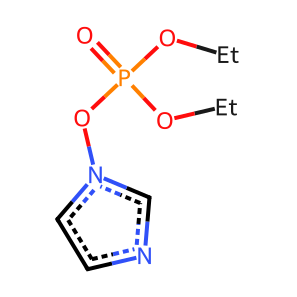 CCOP(=O)(OCC)On1ccnc1